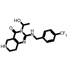 CC(O)n1c(NCc2ccc(C(F)(F)F)cc2)nc2c(c1=O)CNCC2